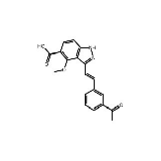 COc1c(C(=O)O)ccc2[nH]nc(/C=C/c3cccc(C(C)=O)c3)c12